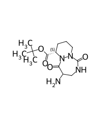 CC(C)(C)OC(=O)[C@@H]1CCCN2C(=O)NCC(N)C(=O)N12